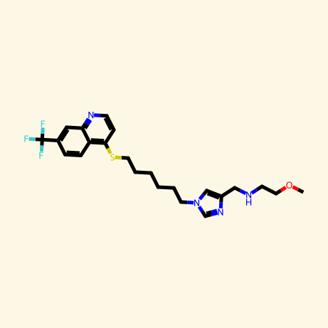 COCCNCc1cn(CCCCCCSc2ccnc3cc(C(F)(F)F)ccc23)cn1